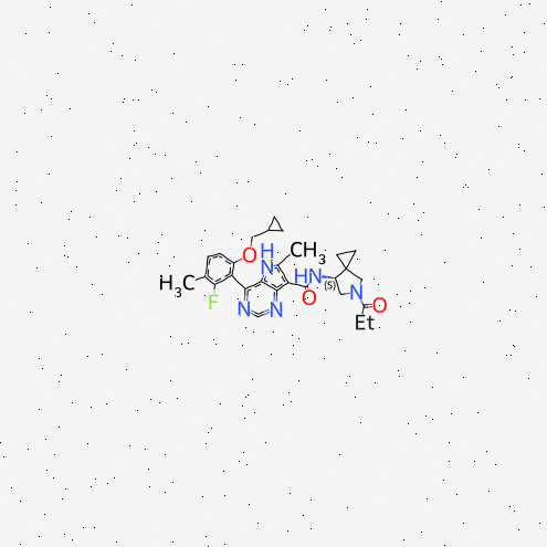 CCC(=O)N1C[C@@H](NC(=O)c2c(C)[nH]c3c(-c4c(OCC5CC5)ccc(C)c4F)ncnc23)C2(CC2)C1